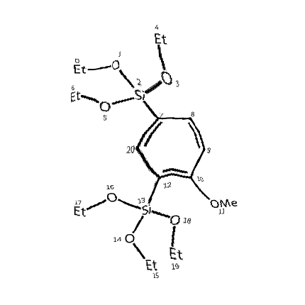 CCO[Si](OCC)(OCC)c1ccc(OC)c([Si](OCC)(OCC)OCC)c1